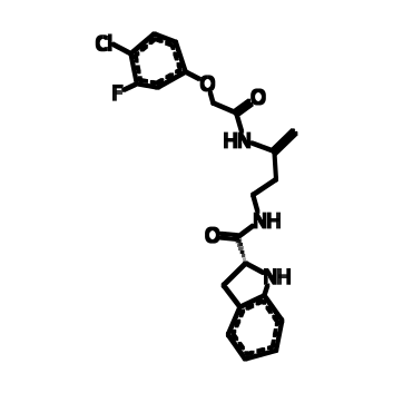 C=C(CCNC(=O)[C@H]1Cc2ccccc2N1)NC(=O)COc1ccc(Cl)c(F)c1